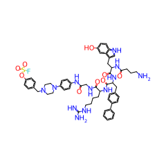 N=C(N)NCCCCC(NC(=O)C(Cc1ccc(-c2ccccc2)cc1)NC(=O)C(Cc1c[nH]c2ccc(O)cc12)NC(=O)CCCN)C(=O)NCC(=O)Nc1ccc(N2CCN(Cc3ccc(OS(=O)(=O)F)cc3)CC2)cc1